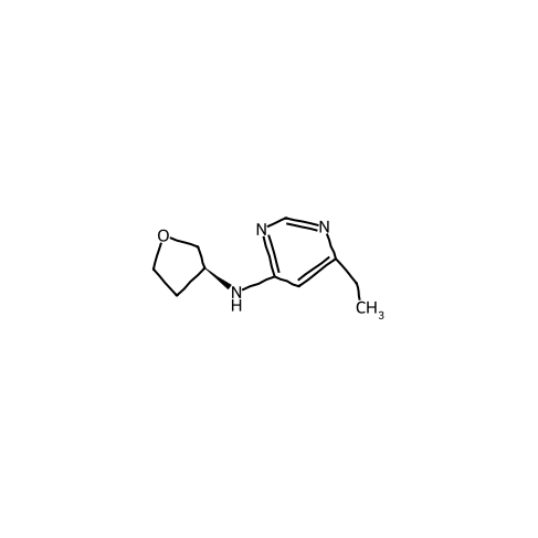 CCc1cc(N[C@H]2CCOC2)ncn1